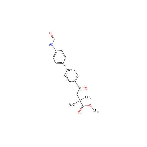 COC(=O)C(C)(C)CC(=O)c1ccc(-c2ccc(NC=O)cc2)cc1